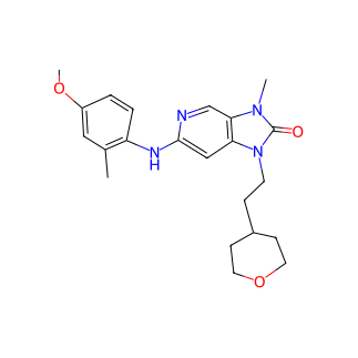 COc1ccc(Nc2cc3c(cn2)n(C)c(=O)n3CCC2CCOCC2)c(C)c1